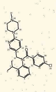 CC(C)c1ccccc1N(Cc1ccc(N2CCN(C)CC2)nc1)C(=O)c1ccc(Cl)cc1